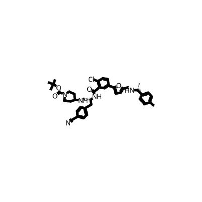 Cc1ccc([C@@H](C)NCc2ccc(-c3ccc(Cl)c(C(=O)N[C@@H](CNC4CCN(C(=O)OC(C)(C)C)CC4)Cc4ccc(C#N)cc4)c3)o2)cc1